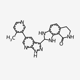 Cc1ccncc1-c1cnc2[nH]nc(C3Nc4ccc5c(c4N3)C(=O)NCC5)c2c1